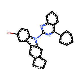 Brc1ccc2c(c1)c1cc3ccccc3cc1n2-c1nc(-c2ccccc2)c2ccccc2n1